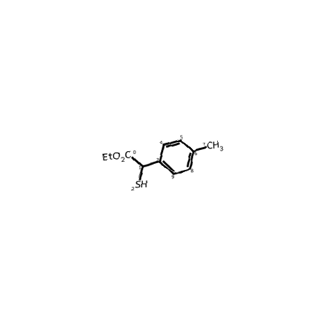 CCOC(=O)C(S)c1ccc(C)cc1